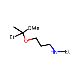 CCNCCCOC(C)(CC)OC